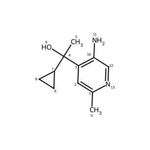 Cc1cc(C(C)(O)C2CC2)c(N)cn1